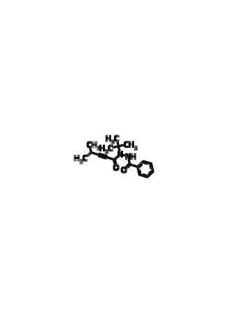 CC(C)C#CC(=O)N(NC(=O)c1ccccc1)C(C)(C)C